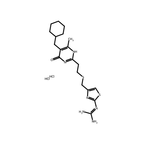 Cc1[nH]c(CCSCc2csc(N=C(N)N)n2)nc(=O)c1CC1CCCCC1.Cl.Cl